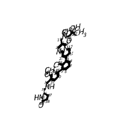 COc1nc(-c2cccc(-c3ccn4c(=O)c(CN(C)CC(C)O)cnc4c3)c2Cl)ccc1CNC[C@@H]1CCC(=O)N1